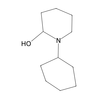 OC1CCCCN1C1CCCCC1